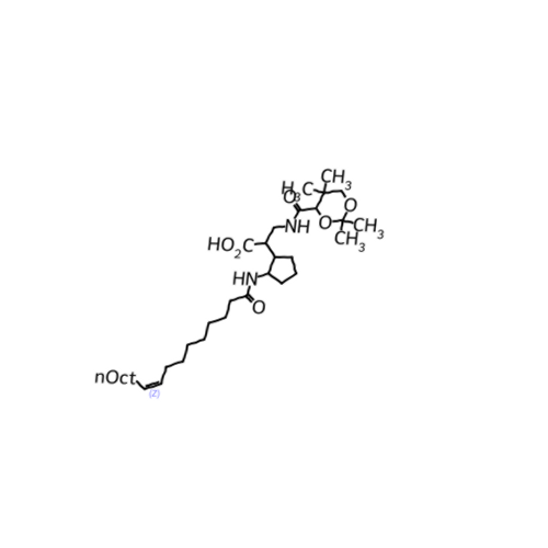 CCCCCCCC/C=C\CCCCCCCC(=O)NC1CCCC1C(CNC(=O)C1OC(C)(C)OCC1(C)C)C(=O)O